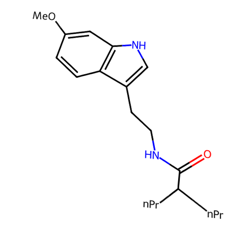 CCCC(CCC)C(=O)NCCc1c[nH]c2cc(OC)ccc12